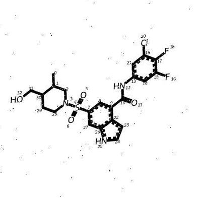 CC1CN(S(=O)(=O)c2cc(C(=O)Nc3cc(F)c(F)c(Cl)c3)c3cc[nH]c3c2)CCC1CO